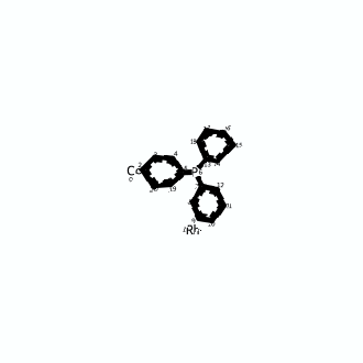 [Co].[Rh].c1ccc(P(c2ccccc2)c2ccccc2)cc1